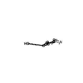 O=C(O)c1ccc(OCCCS(=O)(=O)c2ccc(OCCCCCCCCCCCCCCCCCCO)cc2)cc1O